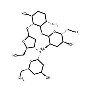 NC[C@H]1C[C@H](O)C[C@@H](O[C@H]2CC(O[C@H]3C(OC4O[C@H](CN)[C@@H](O)C[C@H]4N)[C@@H](N)CC[C@@H]3O)O[C@@H]2CO)O1